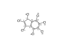 Cl[C]1C(Cl)=C(Cl)c2c(Cl)c(Cl)c(Cl)c(Cl)c21